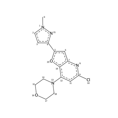 Cn1ccc(-c2cc3nc(Cl)cc(N4CCOCC4)c3o2)n1